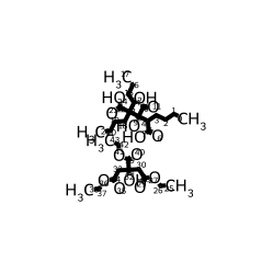 CCCCC(C(=O)O)C(O)(C(=O)O)C(CCCC)(CCCC)C(=O)O.CCOC(=O)CC(O)(CC(=O)OCC)C(=O)OCC